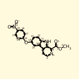 COC(=O)c1nccc2c1[nH]c1ccc(Oc3ccc([N+](=O)[O-])cn3)cc12